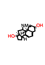 CNC1C[C@]2(C)[C@@H](O)CC[C@H]2C2=CC=C3C[C@@H](O)CC[C@]3(C)[C@H]21